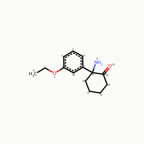 CCOc1cccc(C2(N)CCCCC2=O)c1